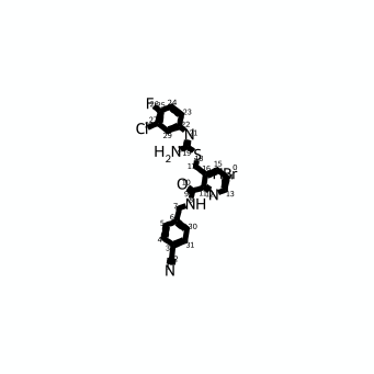 Br.N#Cc1ccc(CNC(=O)c2ncccc2CS/C(N)=N/c2ccc(F)c(Cl)c2)cc1